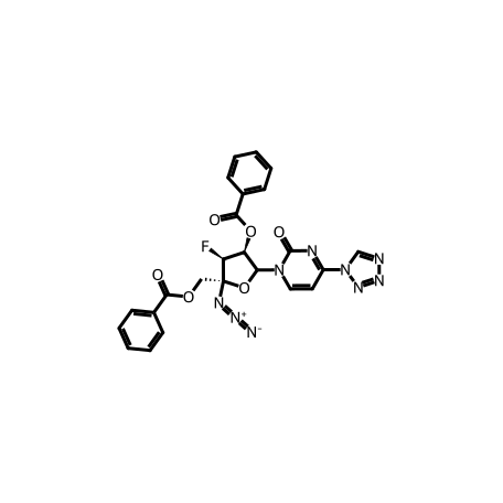 [N-]=[N+]=N[C@]1(COC(=O)c2ccccc2)OC(n2ccc(-n3cnnn3)nc2=O)[C@H](OC(=O)c2ccccc2)[C@@H]1F